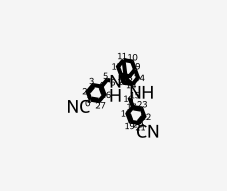 N#Cc1ccc(CNC23CC4CC(C2)CC(NCc2ccc(C#N)cc2)(C4)C3)cc1